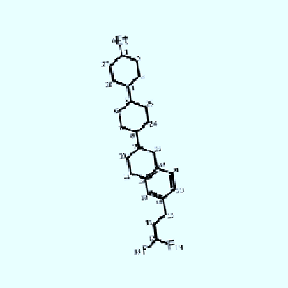 CCC1CCC(C2CCC(C3CCc4cc(CCC(F)F)ccc4C3)CC2)CC1